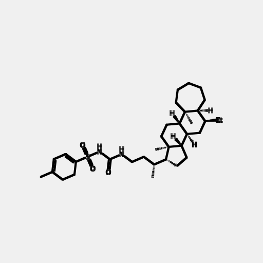 CC[C@H]1C[C@@H]2[C@H](CC[C@]3(C)[C@@H]([C@H](C)CCNC(=O)NS(=O)(=O)C4=CC=C(C)CC4)CC[C@@H]23)[C@@]2(C)CCCCC[C@@H]12